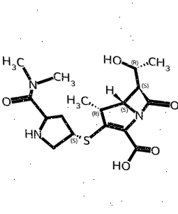 C[C@@H](O)[C@H]1C(=O)N2C(C(=O)O)=C(S[C@@H]3CNC(C(=O)N(C)C)C3)[C@H](C)[C@H]12